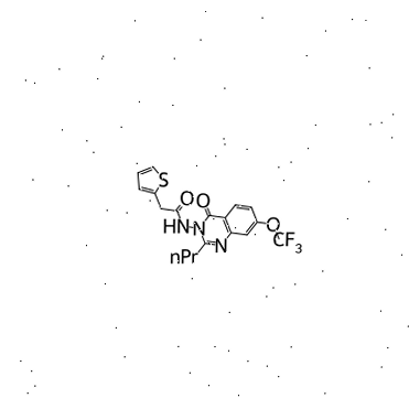 CCCc1nc2cc(OC(F)(F)F)ccc2c(=O)n1NC(=O)Cc1cccs1